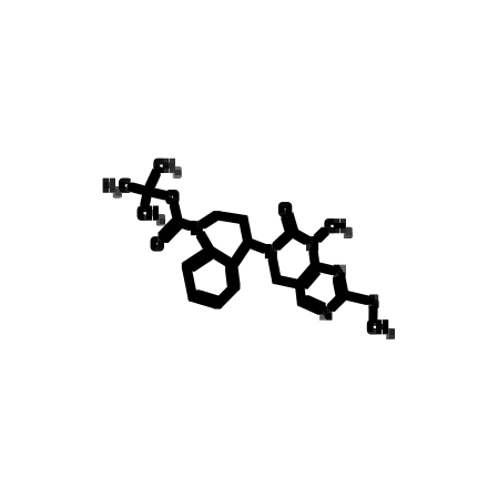 CSc1ncc2c(n1)N(C)C(=O)N(C1CCN(C(=O)OC(C)(C)C)c3ccccc31)C2